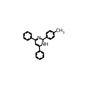 Cc1ccc(C2N=C(c3ccccc3)C=C(c3ccccc3)N2)cc1